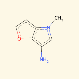 Cn1cc(N)c2occc21